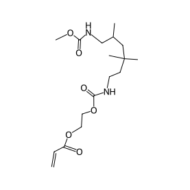 C=CC(=O)OCCOC(=O)NCCC(C)(C)CC(C)CNC(=O)OC